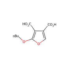 CCCCOc1occ(C(=O)O)c1C(=O)O